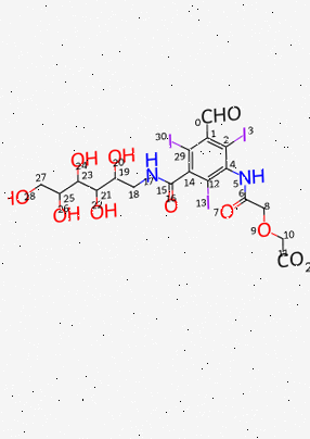 O=Cc1c(I)c(NC(=O)COCC(=O)O)c(I)c(C(=O)NCC(O)C(O)C(O)C(O)CO)c1I